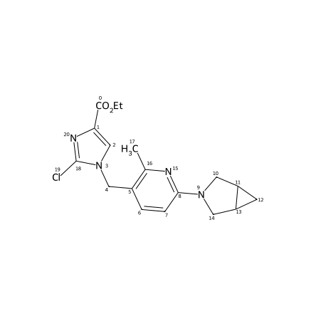 CCOC(=O)c1cn(Cc2ccc(N3CC4CC4C3)nc2C)c(Cl)n1